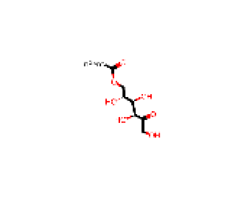 CCCCCC(=O)OC[C@@H](O)[C@@H](O)[C@H](O)C(=O)CO